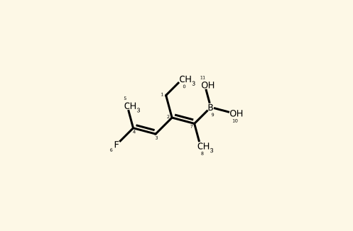 CCC(/C=C(\C)F)=C(/C)B(O)O